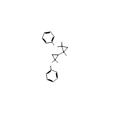 CCCCCCCCCCC1([C]2CC2(C)Oc2ccccc2)CC1(C)Oc1ccccc1